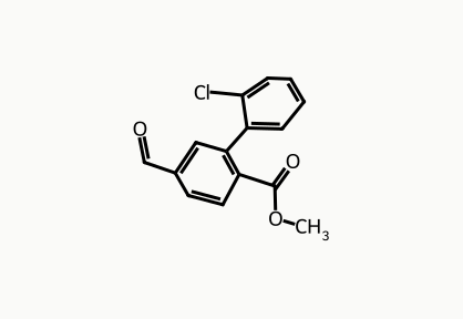 COC(=O)c1ccc(C=O)cc1-c1ccccc1Cl